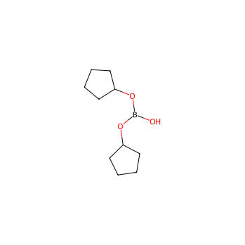 OB(OC1CCCC1)OC1CCCC1